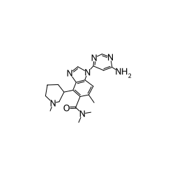 Cc1cc2c(ncn2-c2cc(N)ncn2)c(C2CCCN(C)C2)c1C(=O)N(C)C